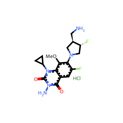 COc1c(N2C[C@@H](CN)[C@H](F)C2)c(F)cc2c(=O)n(N)c(=O)n(C3CC3)c12.Cl